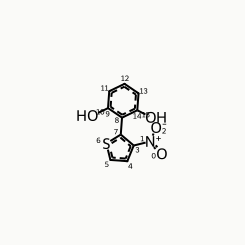 O=[N+]([O-])c1ccsc1-c1c(O)cccc1O